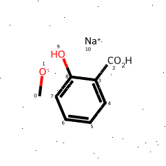 C[O-].O=C(O)c1ccccc1O.[Na+]